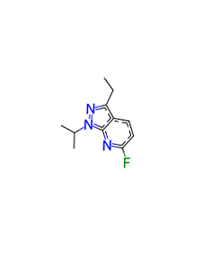 CCc1nn(C(C)C)c2nc(F)ccc12